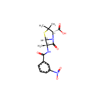 CC1(C)S[C@H]2N(C(=O)[C@]2(C)NC(=O)c2cccc([N+](=O)[O-])c2)[C@H]1C(=O)O